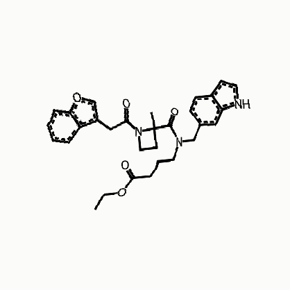 CCOC(=O)CCCN(Cc1ccc2cc[nH]c2c1)C(=O)C1(C)CCN1C(=O)Cc1coc2ccccc12